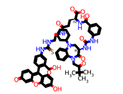 CC(C)(C)C(=O)CN1C(=O)[C@H](NC(=O)Nc2cccc(C(=O)N[C@@H](CCC(=O)NCCNC(=S)Nc3ccc(-c4c5ccc(=O)cc-5oc5cc(O)ccc45)c(C(=O)O)c3)C(=O)O)c2)CN(C2CCCCC2)c2ccccc21